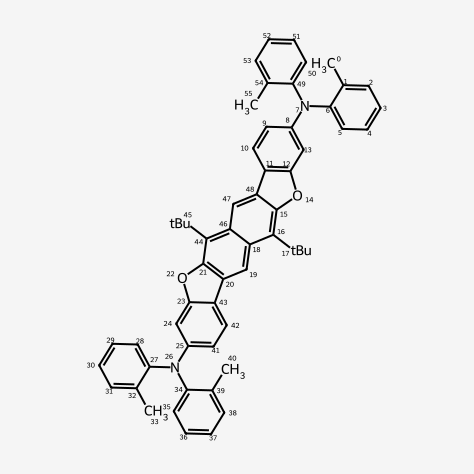 Cc1ccccc1N(c1ccc2c(c1)oc1c(C(C)(C)C)c3cc4c(oc5cc(N(c6ccccc6C)c6ccccc6C)ccc54)c(C(C)(C)C)c3cc12)c1ccccc1C